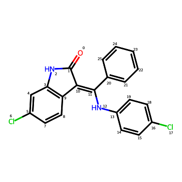 O=C1Nc2cc(Cl)ccc2C1=C(Nc1ccc(Cl)cc1)c1ccccc1